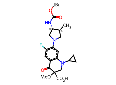 COC1(C(=O)O)CN(C2CC2)c2cc(N3C[C@H](NC(=O)OC(C)(C)C)[C@@H](C)C3)c(F)cc2C1=O